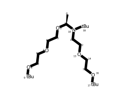 C[C@H](OCCOCCOC(C)(C)C)N(CCOCCOC(C)(C)C)C(C)(C)C